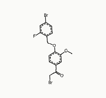 COc1cc(C(=O)CBr)ccc1OCc1ccc(Br)cc1F